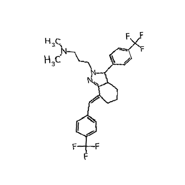 CN(C)CCCN1N=C2C(=Cc3ccc(C(F)(F)F)cc3)CCCC2C1c1ccc(C(F)(F)F)cc1